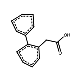 O=C(O)[C]c1ccccc1-c1ccccc1